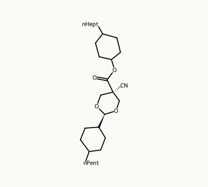 CCCCCCCC1CCC(OC(=O)[C@]2(C#N)CO[C@H](C3CCC(CCCCC)CC3)OC2)CC1